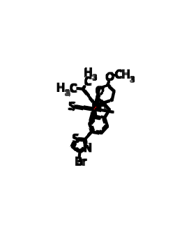 COC1CCC2(CC1)Cc1ccc(-c3nc(Br)cs3)cc1C21NC(=S)N(C(C)C)C1=O